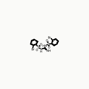 N=C(NS(=O)(=O)c1ccccc1Br)NS(=O)(=O)c1ccccc1Br